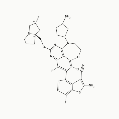 N#Cc1c(N)sc2c(F)ccc(-c3c(Cl)c4c5c(nc(OC[C@@]67CCCN6C[C@H](F)C7)nc5c3F)N(C3CCC(N)C3)CCO4)c12